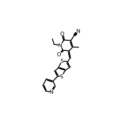 CCN1C(=O)C(C#N)=C(C)/C(=C/c2cc3sc(-c4cccnc4)cc3s2)C1=O